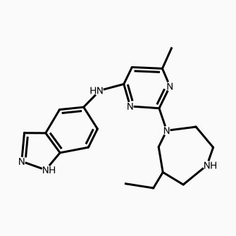 CCC1CNCCN(c2nc(C)cc(Nc3ccc4[nH]ncc4c3)n2)C1